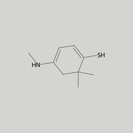 CNC1=CC=C(S)C(C)(C)C1